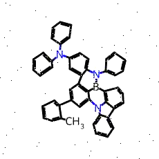 Cc1ccccc1-c1cc2c3c(c1)-n1c4ccccc4c4cccc(c41)B3N(c1ccccc1)c1ccc(N(c3ccccc3)c3ccccc3)cc1-2